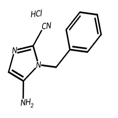 Cl.N#Cc1ncc(N)n1Cc1ccccc1